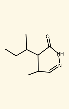 CCC(C)C1C(=O)NN=CC1C